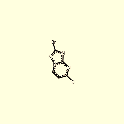 Clc1ccn2nc(Br)nc2n1